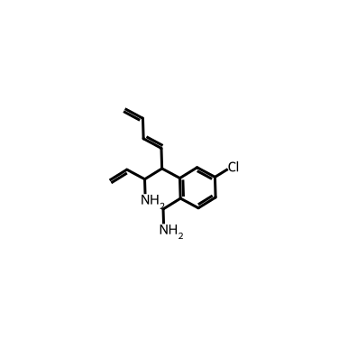 C=C/C=C/C(c1cc(Cl)ccc1CN)C(N)C=C